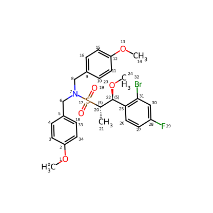 COc1ccc(CN(Cc2ccc(OC)cc2)S(=O)(=O)[C@@H](C)[C@@H](OC)c2ccc(F)cc2Br)cc1